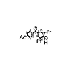 CC(=O)c1ccc(C(=O)c2cc(C(C)C)c(O)c(C(C)C)c2)cc1